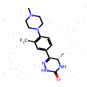 C[C@@H]1NC(=O)NN=C1c1ccc(N2CCN(C)CC2)c(C(F)(F)F)c1